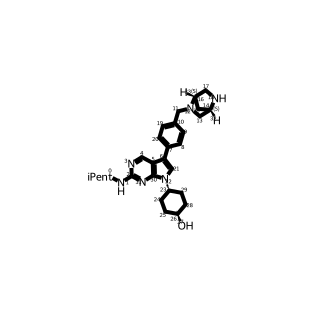 CCCC(C)Nc1ncc2c(-c3ccc(CN4C[C@@H]5C[C@H]4CN5)cc3)cn([C@H]3CC[C@H](O)CC3)c2n1